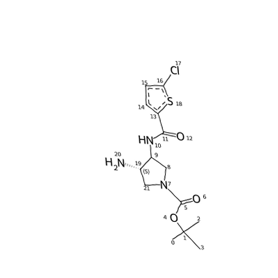 CC(C)(C)OC(=O)N1CC(NC(=O)c2ccc(Cl)s2)[C@@H](N)C1